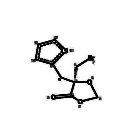 O=C1OCO[C@]1(CBr)Cc1cccs1